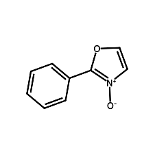 [O-][n+]1ccoc1-c1ccccc1